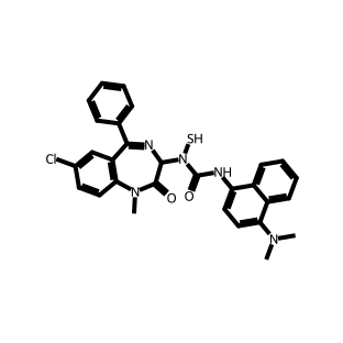 CN(C)c1ccc(NC(=O)N(S)C2N=C(c3ccccc3)c3cc(Cl)ccc3N(C)C2=O)c2ccccc12